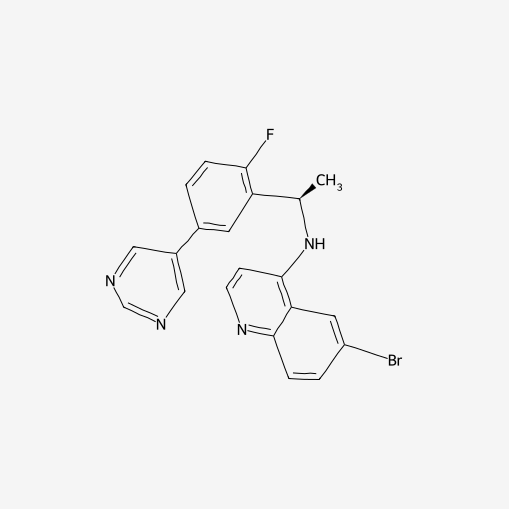 C[C@@H](Nc1ccnc2ccc(Br)cc12)c1cc(-c2cncnc2)ccc1F